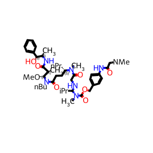 CCCCN(C(=O)CC[C@H](CCC)N(C)C(=O)CNC(C(C)C)N(C)C(=O)OCc1ccc(NC(=O)CNC)cc1)[C@H](OC)[C@@H](C)C(=O)N[C@H](C)[C@@H](O)c1ccccc1